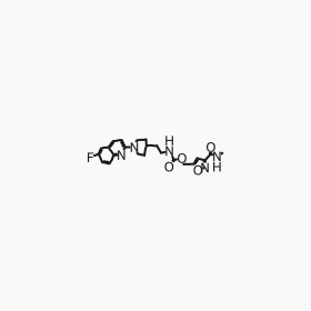 CNC(=O)c1cc(COC(=O)NCCC2CCN(c3ccc4cc(F)ccc4n3)CC2)on1